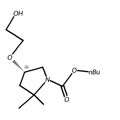 CCCCOC(=O)N1C[C@@H](OCCO)CC1(C)C